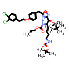 C=CCOC(=O)NC(CCCCNC(=O)OC(C)(C)C)C(O[Si](C)(C)C(C)(C)C)c1noc(Cc2ccc(OCCc3ccc(Cl)c(Cl)c3)cc2)n1